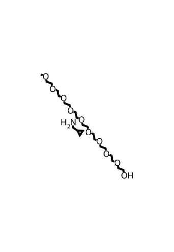 COCCOCCOCCOCCOCCOCCOCCOCCOCCO.NCC1CC1